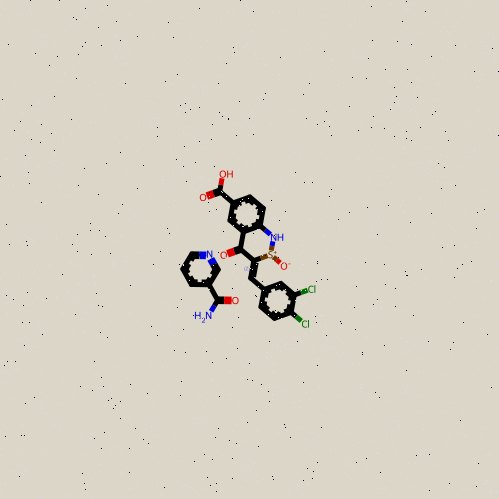 NC(=O)c1cccnc1.O=C(O)c1ccc2c(c1)C(=O)/C(=C/c1ccc(Cl)c(Cl)c1)[S+]([O-])N2